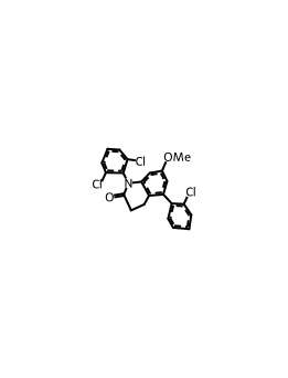 COc1cc(-c2ccccc2Cl)c2c(c1)N(c1c(Cl)cccc1Cl)C(=O)CC2